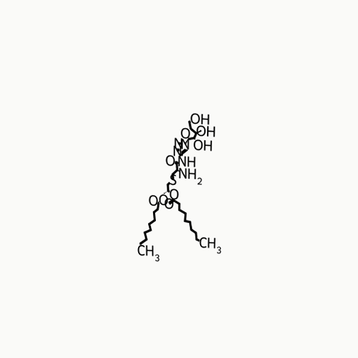 CCCCCCCCCC(=O)OC[C@H](CSC[C@@H](N)C(=O)Nc1cn([C@H]2OC(CO)[C@@H](O)[C@@H]2O)nn1)OC(=O)CCCCCCCCC